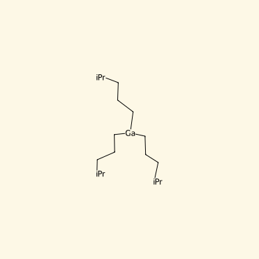 CC(C)CC[CH2][Ga]([CH2]CCC(C)C)[CH2]CCC(C)C